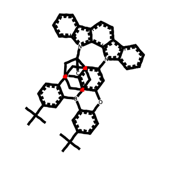 CC(C)(C)c1ccc2c(c1)B1c3cc(C(C)(C)C)ccc3Oc3cc(-n4c5ccccc5c5ccc6c7ccccc7n(C78CC9CC(CC7C9)C8)c6c54)cc(c31)O2